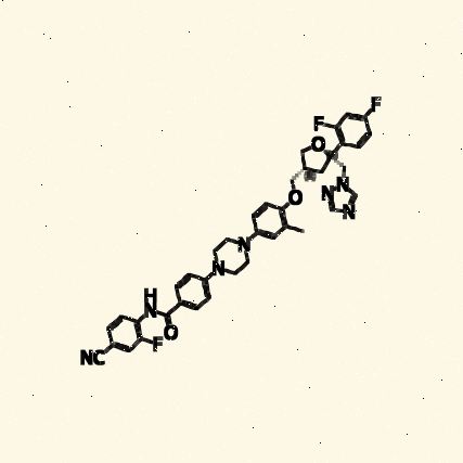 Cc1cc(N2CCN(c3ccc(C(=O)Nc4ccc(C#N)cc4F)cc3)CC2)ccc1OC[C@@H]1CO[C@@](Cn2cncn2)(c2ccc(F)cc2F)C1